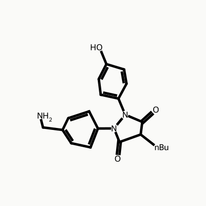 CCCCC1C(=O)N(c2ccc(O)cc2)N(c2ccc(CN)cc2)C1=O